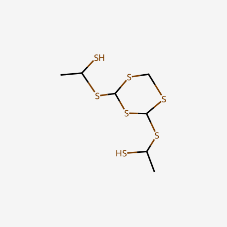 CC(S)SC1SCSC(SC(C)S)S1